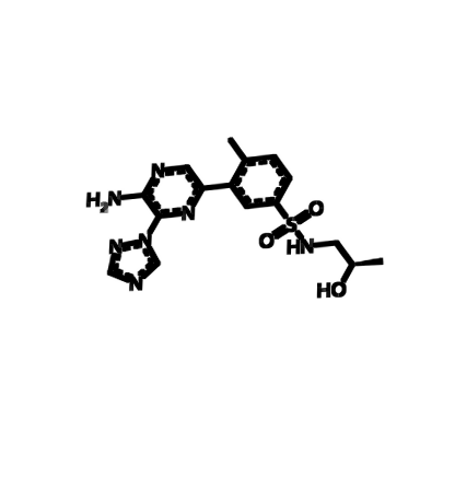 Cc1ccc(S(=O)(=O)NC[C@@H](C)O)cc1-c1cnc(N)c(-n2cncn2)n1